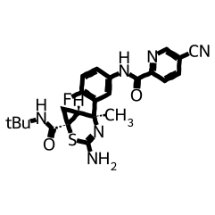 CC(C)(C)NC(=O)[C@]12C[C@H]1[C@@](C)(c1cc(NC(=O)c3ccc(C#N)cn3)ccc1F)N=C(N)S2